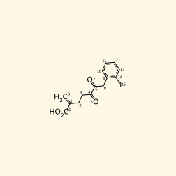 C=C(CCC(=O)C(=O)Cc1ccccc1I)C(=O)O